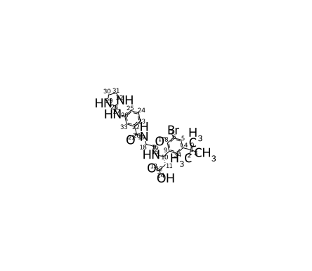 CC(C)(C)c1cc(Br)cc([C@H](CC(=O)O)NC(=O)CNC(=O)c2cccc(NC3NCCN3)c2)c1